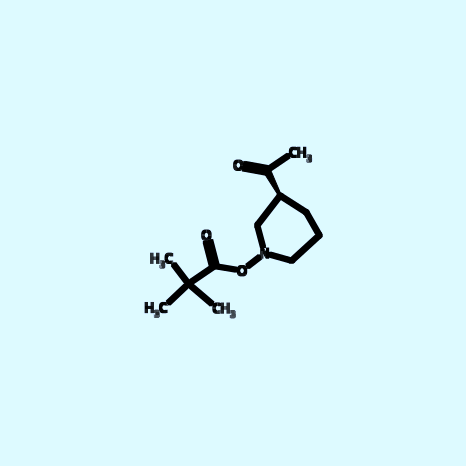 CC(=O)[C@H]1CCCN(OC(=O)C(C)(C)C)C1